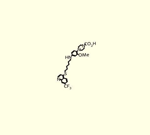 COc1cc(NCCCCCCSc2ccnc3cc(C(F)(F)F)ccc23)ccc1N1CCN(C(=O)O)CC1